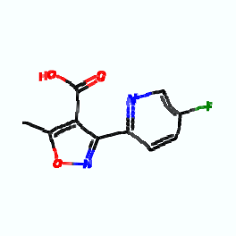 Cc1onc(-c2ccc(F)cn2)c1C(=O)O